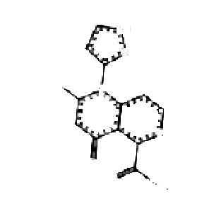 CCc1cc(=O)c2c(C(N)=O)nccc2n1-c1cc[nH]n1